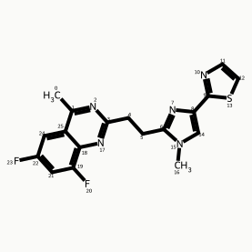 Cc1nc(CCc2nc(-c3nccs3)cn2C)nc2c(F)cc(F)cc12